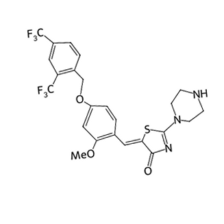 COc1cc(OCc2ccc(C(F)(F)F)cc2C(F)(F)F)ccc1C=C1SC(N2CCNCC2)=NC1=O